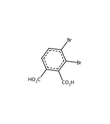 O=C(O)c1ccc(Br)c(Br)c1C(=O)O